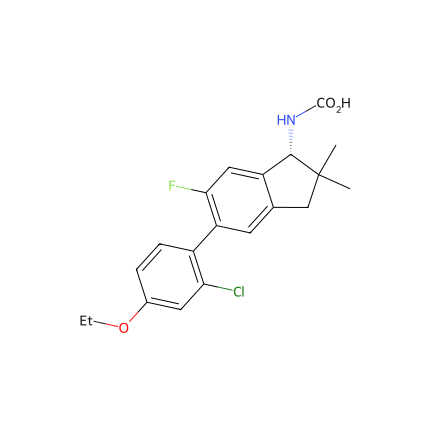 CCOc1ccc(-c2cc3c(cc2F)[C@H](NC(=O)O)C(C)(C)C3)c(Cl)c1